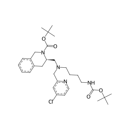 CC(C)(C)OC(=O)NCCCCN(Cc1cc(Cl)ccn1)C[C@H]1Cc2ccccc2CN1C(=O)OC(C)(C)C